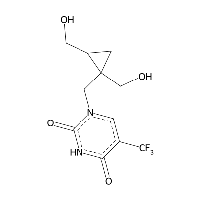 O=c1[nH]c(=O)n(CC2(CO)CC2CO)cc1C(F)(F)F